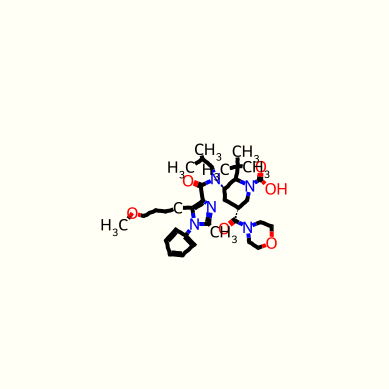 COCCCCc1c(C(=O)N(CC(C)C)[C@H]2C[C@@H](C(=O)N3CCOCC3)CN(C(=O)O)C2C(C)(C)C)nc(C)n1-c1ccccc1